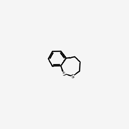 c1ccc2c(c1)CCCSS2